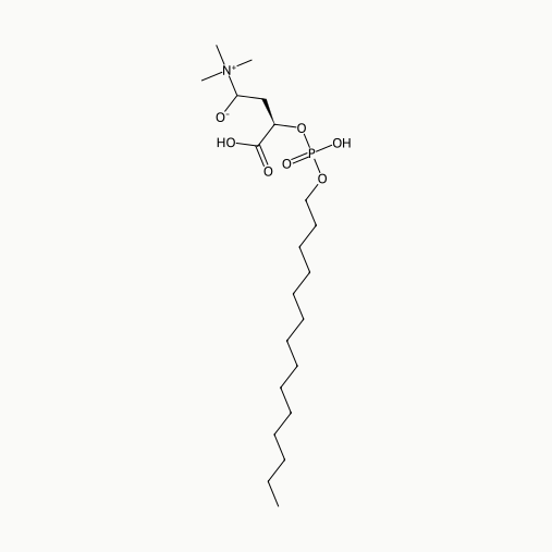 CCCCCCCCCCCCCCOP(=O)(O)O[C@H](CC([O-])[N+](C)(C)C)C(=O)O